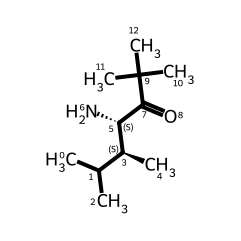 CC(C)[C@H](C)[C@H](N)C(=O)C(C)(C)C